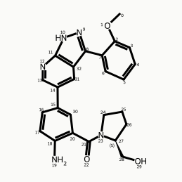 COc1ccccc1-c1n[nH]c2ncc(-c3ccc(N)c(C(=O)N4CCC[C@H]4CO)c3)cc12